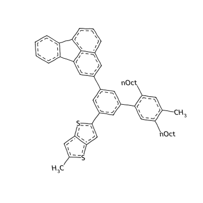 CCCCCCCCc1cc(-c2cc(-c3cc4c5c(cccc5c3)-c3ccccc3-4)cc(-c3cc4sc(C)cc4s3)c2)c(CCCCCCCC)cc1C